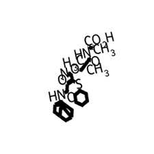 C[C@H](NC(=O)C(C)(C)COc1noc(C(=O)NC2C3CC4CC(C3)CC2C4)c1SC1CCCCC1)C(=O)O